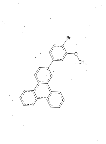 COc1cc(-c2ccc3c4ccccc4c4ccccc4c3c2)ccc1Br